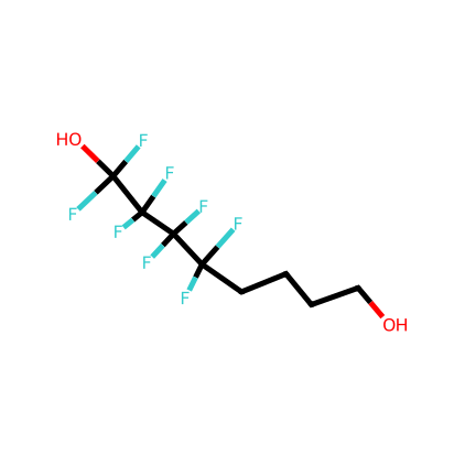 OCCCCC(F)(F)C(F)(F)C(F)(F)C(O)(F)F